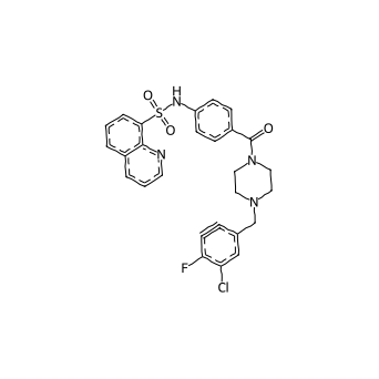 O=C(c1ccc(NS(=O)(=O)c2cccc3cccnc23)cc1)N1CCN(Cc2c#cc(F)c(Cl)c2)CC1